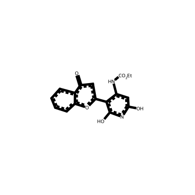 CCOC(=O)Nc1cc(O)nc(O)c1-c1cc(=O)c2ccccc2o1